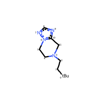 CC(C)(C)CCN1CCn2ncnc2C1